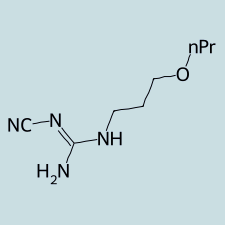 CCCOCCCNC(N)=NC#N